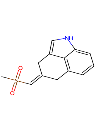 CS(=O)(=O)/C=C1/Cc2cccc3[nH]cc(c23)C1